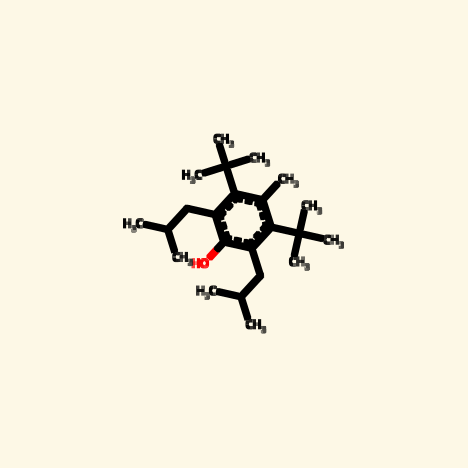 Cc1c(C(C)(C)C)c(CC(C)C)c(O)c(CC(C)C)c1C(C)(C)C